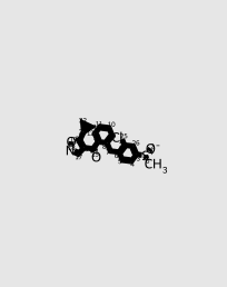 C[S+]([O-])c1ccc(Cc2ccccc2C(=O)c2cnoc2C2CC2)c(Cl)c1